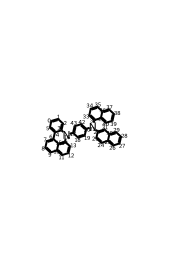 c1ccc2c(c1)-c1cccc3cccc(c13)N2c1ccc(N(c2ccc3ccccc3c2)c2cccc3ccccc23)cc1